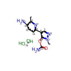 Cc1nc(-c2cnn(C)c2OC(N)=O)ccc1N.Cl.Cl